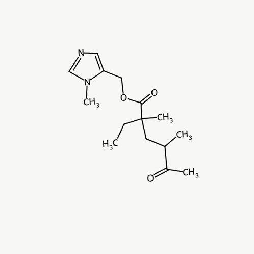 CCC(C)(CC(C)C(C)=O)C(=O)OCc1cncn1C